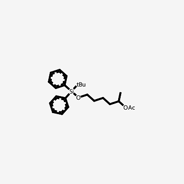 CC(=O)OC(C)CCCCO[Si](c1ccccc1)(c1ccccc1)C(C)(C)C